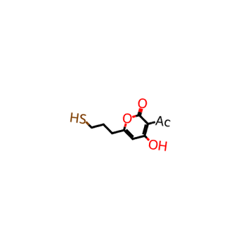 CC(=O)c1c(O)cc(CCCS)oc1=O